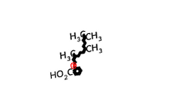 CC(C)=CCCC(C)=CCCC(C)=CCOc1ccccc1C(=O)O